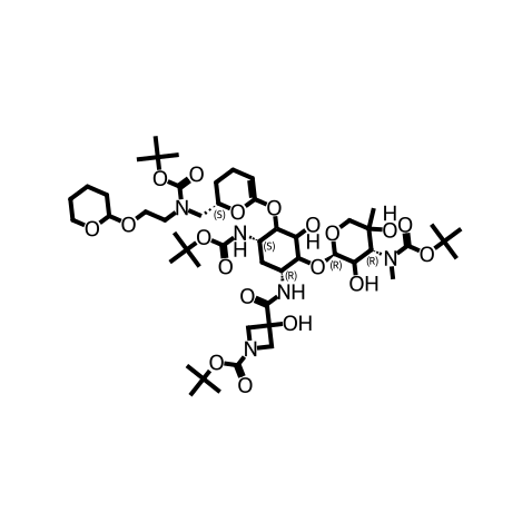 CN(C(=O)OC(C)(C)C)[C@@H]1C(O)[C@@H](OC2C(O)C(OC3=CCC[C@@H](CN(CCOC4CCCCO4)C(=O)OC(C)(C)C)O3)[C@@H](NC(=O)OC(C)(C)C)C[C@H]2NC(=O)C2(O)CN(C(=O)OC(C)(C)C)C2)OCC1(C)O